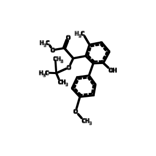 COC(=O)C(OC(C)(C)C)c1c(C)ccc(O)c1-c1ccc(OC)cc1